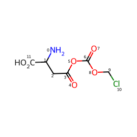 NC(CC(=O)OC(=O)OCCl)C(=O)O